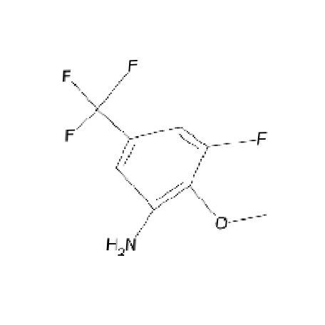 COc1c(N)cc(C(F)(F)F)cc1F